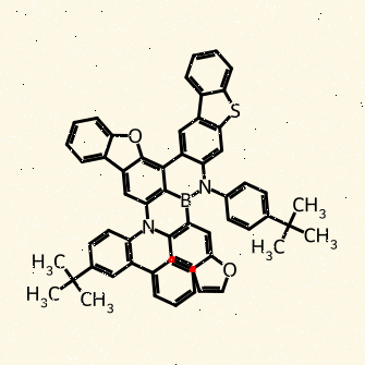 CC(C)(C)c1ccc(N2B3c4cc5occc5cc4N(c4ccc(C(C)(C)C)cc4-c4ccccc4)c4cc5c(oc6ccccc65)c(c43)-c3cc4c(cc32)sc2ccccc24)cc1